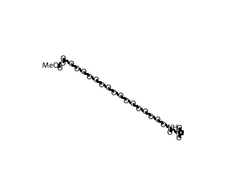 COC(=O)COC(=O)CCOCCOCCOCCOCCOCCOCCOCCOCCOCCOCCOCCOCCOCCOCCOCCOCCNC(=O)CCN1C(=O)C=CC1=O